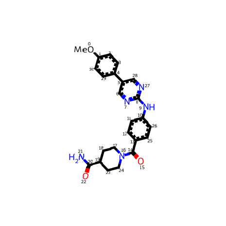 COc1ccc(-c2cnc(Nc3ccc(C(=O)N4CCC(C(N)=O)CC4)cc3)nc2)cc1